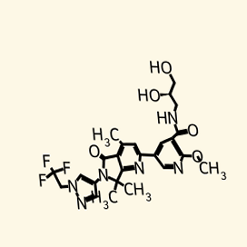 COc1ncc(-c2cc(C)c3c(n2)C(C)(C)N(c2cnn(CC(F)(F)F)c2)C3=O)cc1C(=O)NC[C@@H](O)CO